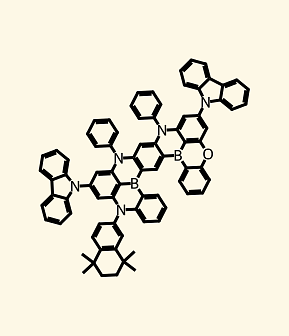 CC1(C)CCC(C)(C)c2cc(N3c4ccccc4B4c5cc6c(cc5N(c5ccccc5)c5cc(-n7c8ccccc8c8ccccc87)cc3c54)N(c3ccccc3)c3cc(-n4c5ccccc5c5ccccc54)cc4c3B6c3ccccc3O4)ccc21